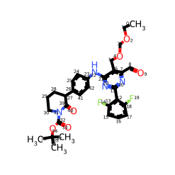 CCOCOCc1c(C=O)nc(-c2c(F)cccc2F)nc1Nc1ccc(C2CCCN(C(=O)OC(C)(C)C)C2=O)cc1